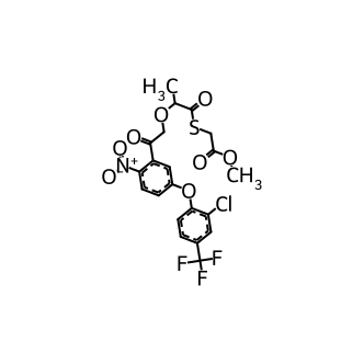 COC(=O)CSC(=O)C(C)OCC(=O)c1cc(Oc2ccc(C(F)(F)F)cc2Cl)ccc1[N+](=O)[O-]